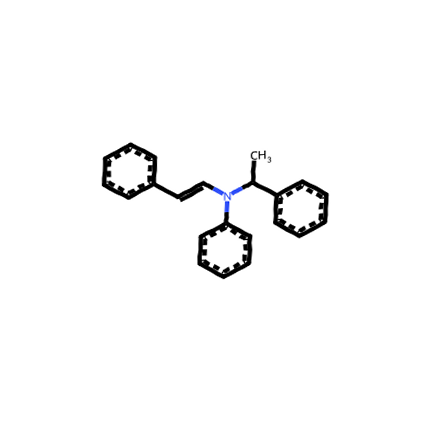 CC(c1ccccc1)N(C=Cc1ccccc1)c1ccccc1